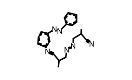 CC(C#N)CN=NCC(C)C#N.c1ccc(N=Nc2ccccc2)cc1